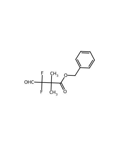 CC(C)(C(=O)OCc1ccccc1)C(F)(F)C=O